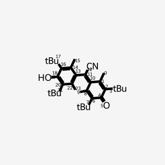 CC1=C(C(C)(C)C)C(=O)C(C(C)(C)C)=C(C)C1=C(C#N)c1c(C)c(C(C)(C)C)c(O)c(C(C)(C)C)c1C